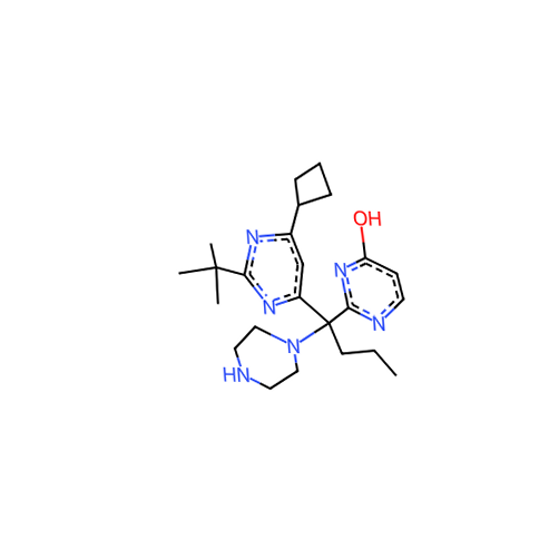 CCCC(c1cc(C2CCC2)nc(C(C)(C)C)n1)(c1nccc(O)n1)N1CCNCC1